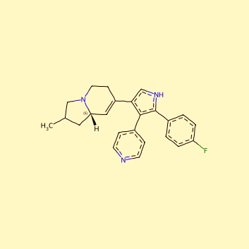 CC1C[C@H]2C=C(c3c[nH]c(-c4ccc(F)cc4)c3-c3ccncc3)CCN2C1